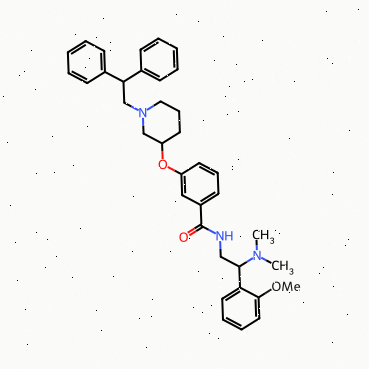 COc1ccccc1C(CNC(=O)c1cccc(OC2CCCN(CC(c3ccccc3)c3ccccc3)C2)c1)N(C)C